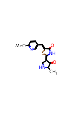 COc1ccc(/C=c2\s/c(=C3\CNC(C)C3=O)[nH]c2=O)cn1